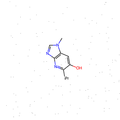 CC(C)c1nc2ncn(C)c2cc1O